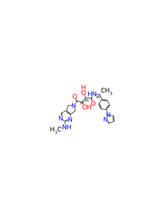 CNc1ncc2c(n1)CN(C(=O)[C@H](O)[C@@H](O)C(=O)N[C@H](C)c1ccc(-n3cccn3)cc1)C2